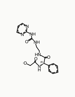 [O]CC(=O)N[C@@H](C(=O)NCCNC(=O)Nc1ncccn1)c1ccccc1